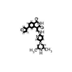 C[C@@H]1CN(c2ccc(NC=C3C(=O)NC(=O)c4ccc(-c5ccoc5)cc43)nc2)C[C@H](C)N1